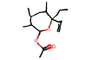 C=CC1(CC)OC(OC(C)=O)C(C)C(C)C1C